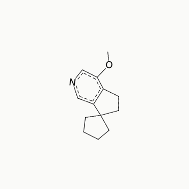 COc1cncc2c1CCC21CCCC1